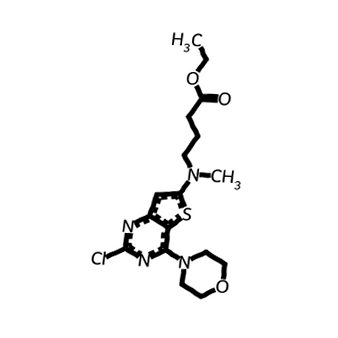 CCOC(=O)CCCN(C)c1cc2nc(Cl)nc(N3CCOCC3)c2s1